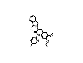 CCOc1ccc(CC(C(=O)Nc2ccc(C)cn2)N2Cc3ccccc3C2=O)cc1OC